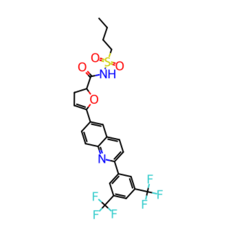 CCCCS(=O)(=O)NC(=O)C1CC=C(c2ccc3nc(-c4cc(C(F)(F)F)cc(C(F)(F)F)c4)ccc3c2)O1